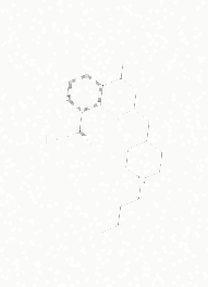 CCCCN1CCC(CC2CC(O)c3cccc(C(=O)O)c3S2)CC1